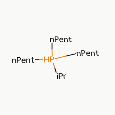 CCCCC[PH](CCCCC)(CCCCC)C(C)C